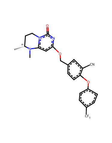 C[C@@H]1CCn2c(cc(OCc3ccc(Oc4ccc(C(F)(F)F)cc4)c(C#N)c3)nc2=O)N1C